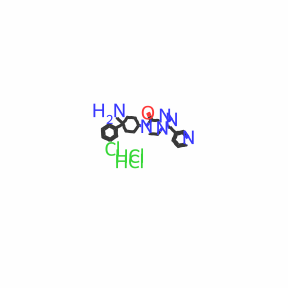 Cl.Cl.NCC1(c2cccc(Cl)c2)CCC(N2CCn3c(nnc3-c3cccnc3)C2=O)CC1